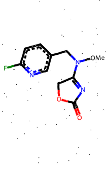 CON(Cc1ccc(F)nc1)C1=NC(=O)OC1